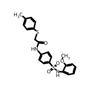 COc1ccccc1NS(=O)(=O)c1ccc(NC(=O)CSc2ccc(C)cc2)cc1